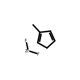 CC1=C[CH]C=C1.[F][Zr][F]